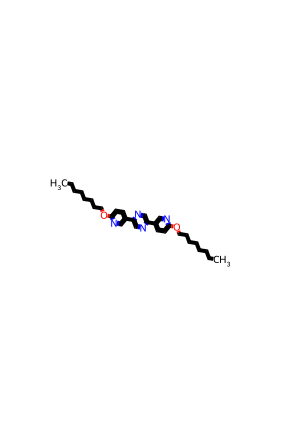 CCCCCCCCOc1ccc(-c2cnc(-c3ccc(OCCCCCCCC)nc3)cn2)cn1